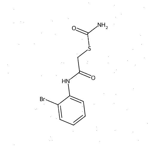 NC(=O)SCC(=O)Nc1ccccc1Br